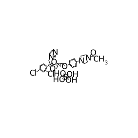 CC(=O)N1CCN(c2ccc(OC[C@H]3CO[C@](Cn4ccnc4)(c4ccc(Cl)cc4Cl)O3)cc2)CC1.O[Si](O)(O)O